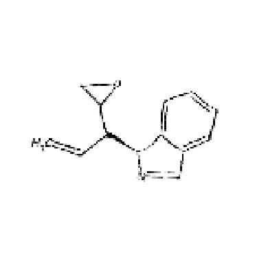 C=CC(C1CO1)[C@@H]1N=Cc2ccccc21